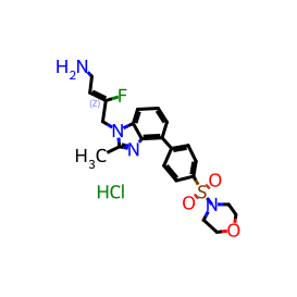 Cc1nc2c(-c3ccc(S(=O)(=O)N4CCOCC4)cc3)cccc2n1C/C(F)=C/CN.Cl